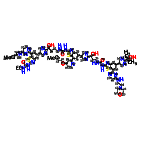 CCNC(=O)Nc1nc2cc(-c3cnc(C(O)CCCNC(=O)Nc4nc5cc(-c6cnc(C(O)CCNC(=O)Nc7nc8cc(-c9cnc(C(C)(C)O)nc9)cc(-c9nccc(NCCN%10CCOCC%10)n9)c8s7)nc6)cc(-c6cc(OCCOC)ccn6)c5s4)nc3)cc(-c3nccc(N4CC(OC)C4)n3)c2s1